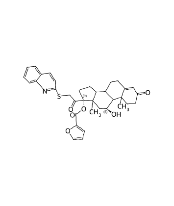 CC12CCC(=O)C=C1CCC1C2[C@@H](O)CC2(C)C1CC[C@]2(OC(=O)c1ccco1)C(=O)CSc1ccc2ccccc2n1